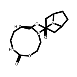 CCOC(=O)N1C2CCC1CC(N1CCCCNC(=O)OCC1)C2